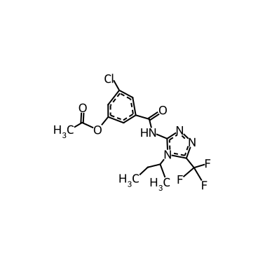 CCC(C)n1c(NC(=O)c2cc(Cl)cc(OC(C)=O)c2)nnc1C(F)(F)F